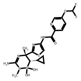 CN1C(N)=N[C@](C)(c2nc(NC(=O)c3ccc(OC(F)F)cn3)cs2)[C@H](C2CC2)S1(O)O